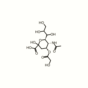 CC(=O)N[C@@H]1[C@@H](OC(=O)CO)CC(O)(C(=O)O)O[C@H]1C(O)C(O)CO